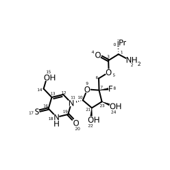 CC(C)[C@H](N)C(=O)OC[C@@]1(F)O[C@@H](n2cc(CO)c(=S)[nH]c2=O)[C@H](O)[C@@H]1O